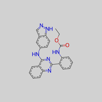 CCOC(=O)Nc1ccccc1-c1nc(Nc2ccc3[nH]ncc3c2)c2ccccc2n1